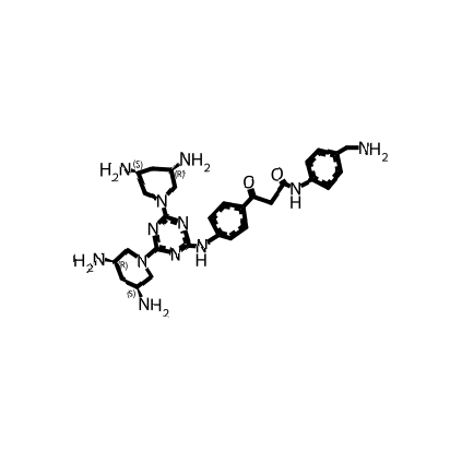 NCc1ccc(NC(=O)CC(=O)c2ccc(Nc3nc(N4C[C@H](N)C[C@H](N)C4)nc(N4C[C@H](N)C[C@H](N)C4)n3)cc2)cc1